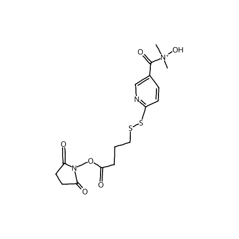 C[N+](C)(O)C(=O)c1ccc(SSCCCC(=O)ON2C(=O)CCC2=O)nc1